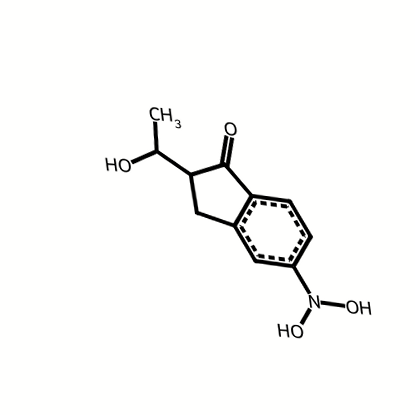 CC(O)C1Cc2cc(N(O)O)ccc2C1=O